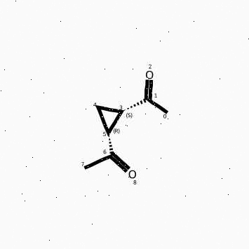 CC(=O)[C@H]1C[C@H]1C(C)=O